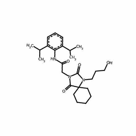 CC(C)c1cccc(C(C)C)c1NC(=O)CN1C(=O)N(CCCO)C2(CCCCC2)C1=O